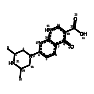 CC1CN(c2ccc3c(=O)c(C(=O)O)c[nH]c3n2)CC(C)N1